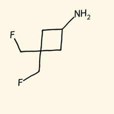 NC1CC(CF)(CF)C1